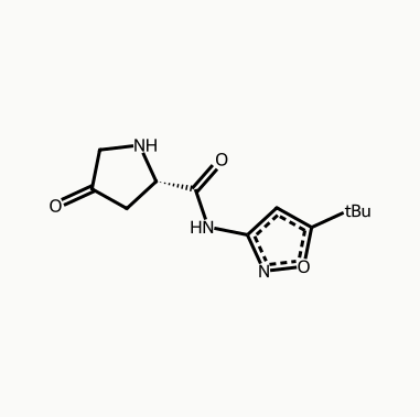 CC(C)(C)c1cc(NC(=O)[C@@H]2CC(=O)CN2)no1